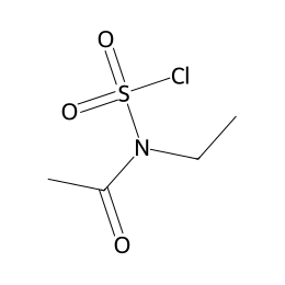 CCN(C(C)=O)S(=O)(=O)Cl